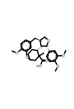 COc1ccc(C[C@H]2CO[C@H](c3ccc(OC)c(OC)c3)[C@@H]2C2CCCCC2(C)C(=O)O)cc1OC